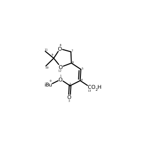 CCC(C)OC(=O)C(=CC1COC(C)(C)O1)C(=O)O